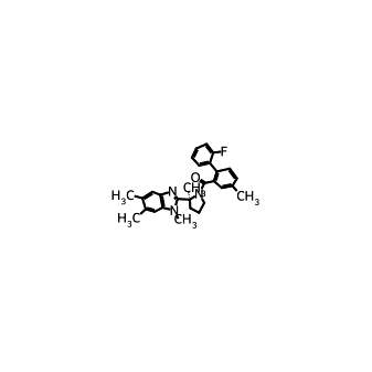 Cc1ccc(-c2ccccc2F)c(C(=O)N2CCC[C@@]2(C)c2nc3cc(C)c(C)cc3n2C)c1